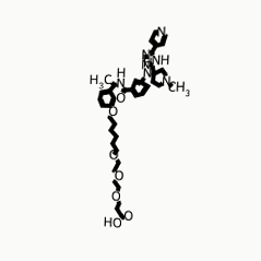 CC(NC(=O)c1cccc(NC2(c3nnc(-c4ccncc4)[nH]3)CCN(C)CC2)c1)c1cccc(OCCCCCCOCCOCCOCCC(=O)O)c1